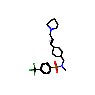 CN(CC1CCC(/C=C/CN2CCCCC2)CC1)S(=O)(=O)c1ccc(C(F)(F)F)cc1